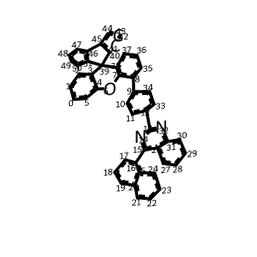 c1ccc2c(c1)Oc1c(-c3ccc(-c4nc(-c5cccc6ccccc56)c5ccccc5n4)cc3)cccc1C21c2ccccc2-c2ccccc21